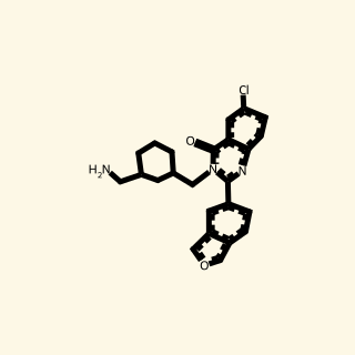 NCC1CCCC(Cn2c(-c3ccc4cocc4c3)nc3ccc(Cl)cc3c2=O)C1